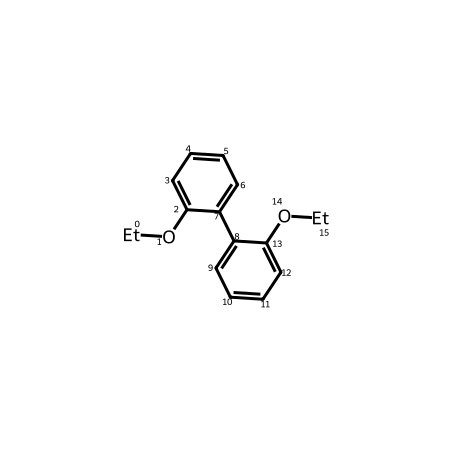 CCOc1ccccc1-c1ccccc1OCC